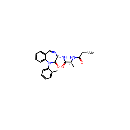 CSCC(=O)N[C@@H](C)C(=O)N[C@H]1N=Cc2ccccc2N(c2ccccc2C)C1=O